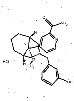 CO[C@@]1(c2ccnc(C(N)=O)c2)[C@@H]2CCC[C@H]1CN(Cc1cccc(O)n1)C2.Cl